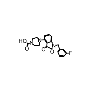 O=C1C(=O)N(Cc2cccc(F)c2)c2cccc(N3CCN(C(=O)O)CC3)c21